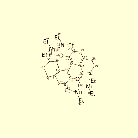 CCN(CC)P(Oc1ccc2c(c1-c1c(OP(N(CC)CC)N(CC)CC)ccc3c1CCCC3)CCCC2)N(CC)CC